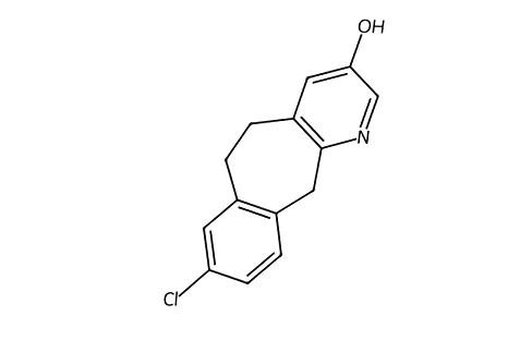 Oc1cnc2c(c1)CCc1cc(Cl)ccc1C2